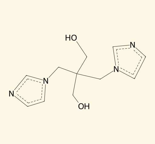 OCC(CO)(Cn1ccnc1)Cn1ccnc1